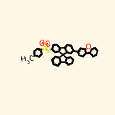 Cc1ccc(S(=O)(=O)Sc2ccc3c(c2)C2(c4ccccc4-c4ccccc42)c2cc(-c4ccc5c(c4)oc4ccccc45)ccc2-3)cc1